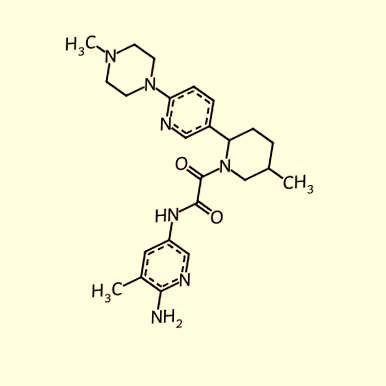 Cc1cc(NC(=O)C(=O)N2CC(C)CCC2c2ccc(N3CCN(C)CC3)nc2)cnc1N